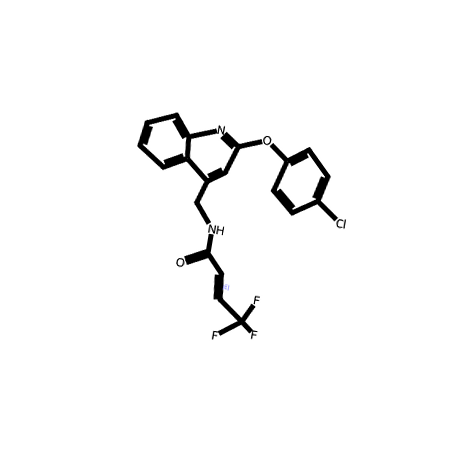 O=C(/C=C/C(F)(F)F)NCc1cc(Oc2ccc(Cl)cc2)nc2ccccc12